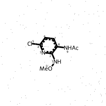 CONc1nc(Cl)ccc1NC(C)=O